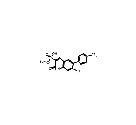 CCC(C)OP(=O)(O)c1cc2cc(-c3ccc(C(F)(F)F)cc3)c(Cl)cc2[nH]c1=O